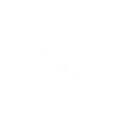 COc1nc(N[C@H]2CC[C@@H](NC(=O)c3ccc(F)c(F)c3)CC2)ncc1C.O=C(O)C(F)(F)F